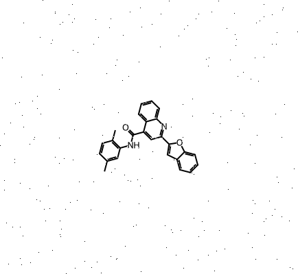 Cc1ccc(C)c(NC(=O)c2cc(-c3cc4ccccc4o3)nc3ccccc23)c1